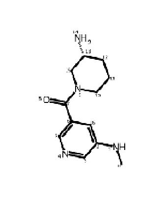 CNc1cncc(C(=O)N2CCC[C@@H](N)C2)c1